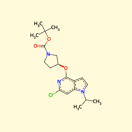 CC(C)n1ccc2c(O[C@H]3CCN(C(=O)OC(C)(C)C)C3)nc(Cl)cc21